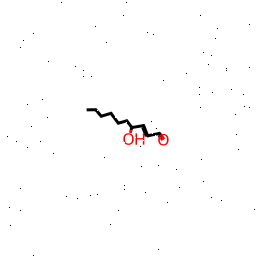 CCCCCCC(O)/C=C/C=O